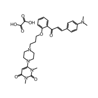 CN(C)c1ccc(/C=C/C(=O)c2ccccc2OCCCN2CCN(c3cc(=O)n(C)c(=O)n3C)CC2)cc1.O=C(O)C(=O)O